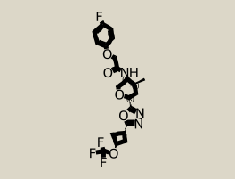 C[C@H]1C[C@H](c2nnc([C@H]3C[C@@H](OC(F)(F)F)C3)o2)OC[C@H]1NC(=O)COc1ccc(F)cc1